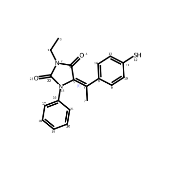 CCN1C(=O)/C(=C(/C)c2ccc(S)cc2)N(c2ccccc2)C1=O